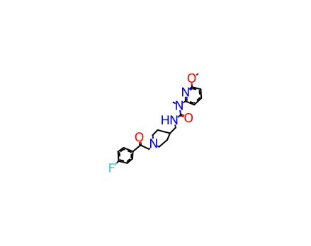 COc1cccc(N(C)C(=O)NCC2CCN(CC(=O)c3ccc(F)cc3)CC2)n1